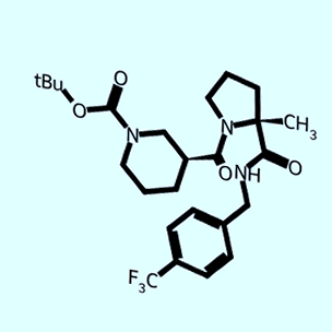 CC(C)(C)OC(=O)N1CCC[C@H](C(=O)N2CCC[C@]2(C)C(=O)NCc2ccc(C(F)(F)F)cc2)C1